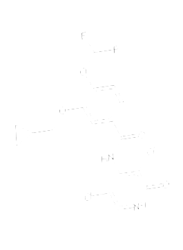 O=C(Nc1c(Cl)c[nH]c(=O)c1Cl)c1ccc(OC(F)F)c(OCC2CC2)c1